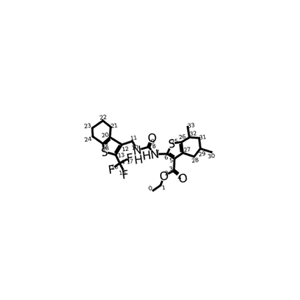 CCOC(=O)c1c(NC(=O)NCc2c(C(F)(F)F)sc3c2CCCC3)sc2c1CC(C)CC2C